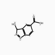 O=C(O)c1ccc2c(c1)C(O)N=N2